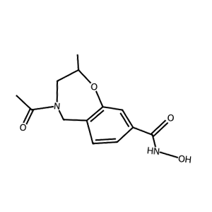 CC(=O)N1Cc2ccc(C(=O)NO)cc2OC(C)C1